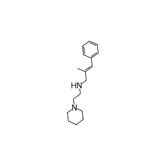 C/C(=C\c1ccccc1)CNCCN1CCCCC1